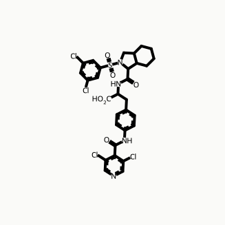 O=C(Nc1ccc(CC(NC(=O)C2C3CCCCC3CN2S(=O)(=O)c2cc(Cl)cc(Cl)c2)C(=O)O)cc1)c1c(Cl)cncc1Cl